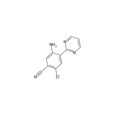 N#Cc1cc(N)c(-c2ncccn2)cc1Cl